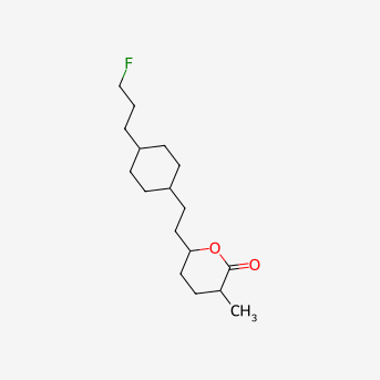 CC1CCC(CCC2CCC(CCCF)CC2)OC1=O